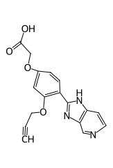 C#CCOc1cc(OCC(=O)O)ccc1-c1nc2cnccc2[nH]1